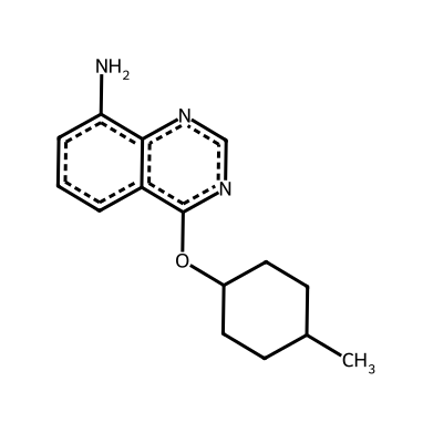 CC1CCC(Oc2ncnc3c(N)cccc23)CC1